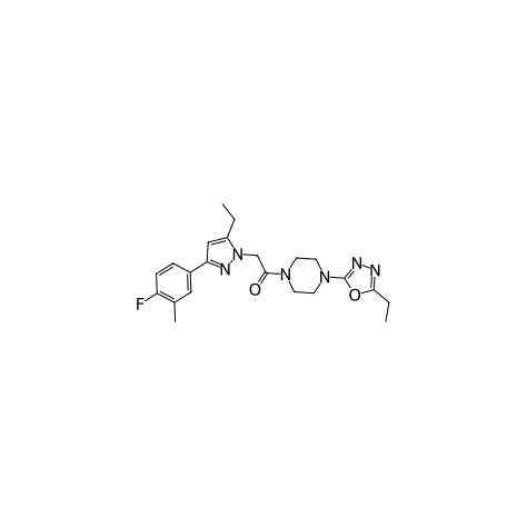 CCc1nnc(N2CCN(C(=O)Cn3nc(-c4ccc(F)c(C)c4)cc3CC)CC2)o1